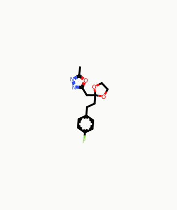 Cc1nnc(CC2(CCc3ccc(F)cc3)OCCO2)o1